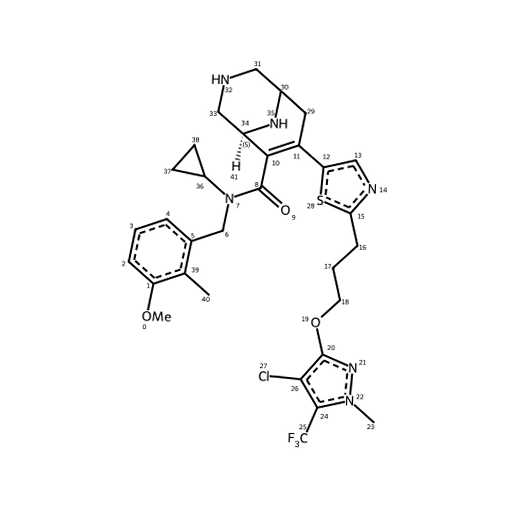 COc1cccc(CN(C(=O)C2=C(c3cnc(CCCOc4nn(C)c(C(F)(F)F)c4Cl)s3)CC3CNC[C@H]2N3)C2CC2)c1C